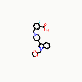 O=C(O)c1cc(CN2CCC(c3cn(CC4OCCO4)c4ccccc34)CC2)ccc1F